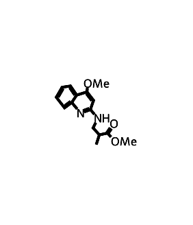 COC(=O)C(C)CNc1cc(OC)c2ccccc2n1